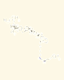 CCCCC/C=C\C/C=C\CCCCCCCCOCC(CC1CCCCC1)OC(=O)COCC(=O)O[C@H]1CCC2C(=CCC3C2CC[C@@]2(C)C3CC[C@@H]2[C@H](C)CCCC(C)C)C1